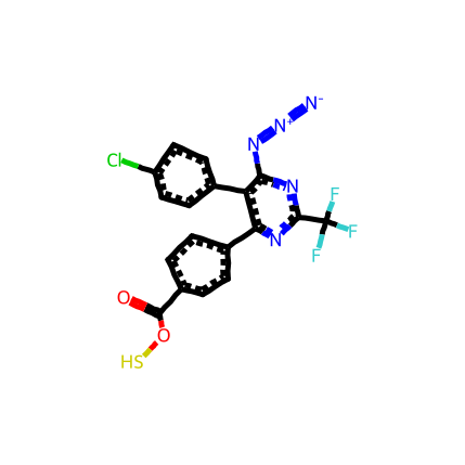 [N-]=[N+]=Nc1nc(C(F)(F)F)nc(-c2ccc(C(=O)OS)cc2)c1-c1ccc(Cl)cc1